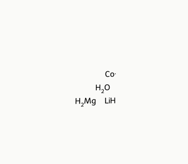 O.[Co].[LiH].[MgH2]